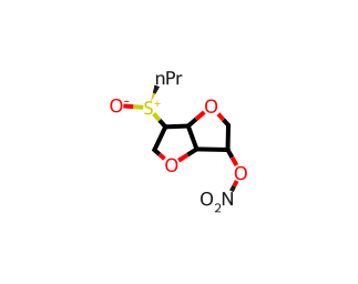 CCC[S@+]([O-])C1COC2C(O[N+](=O)[O-])COC21